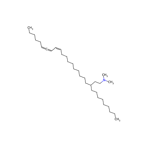 CCCCCC=C=C/C=C\CCCCCCCCCC(CCCCCCCCC)CCN(C)C